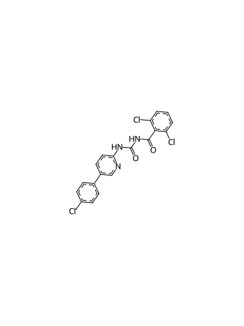 O=C(NC(=O)c1c(Cl)cccc1Cl)Nc1ccc(-c2ccc(Cl)cc2)cn1